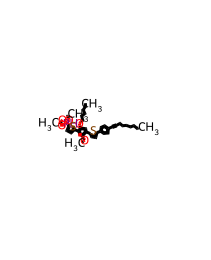 CCCCCCCC#Cc1ccc(-c2ccc(-c3cc(OCCCCCC)c(-c4ccc([PH]5(OCC)OC(C)O5)s4)cc3OC)s2)cc1